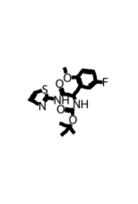 COc1ccc(F)cc1C(NC(=O)OC(C)(C)C)C(=O)Nc1nccs1